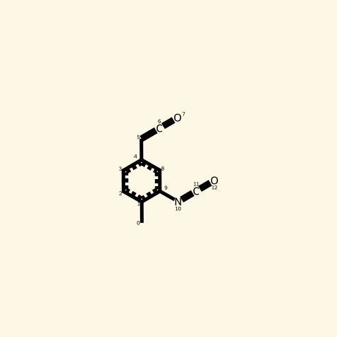 Cc1ccc(C=C=O)cc1N=C=O